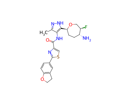 Cc1n[nH]c([C@@H]2CC[C@@H](N)[C@H](F)CO2)c1NC(=O)c1csc(-c2ccc3c(c2)CCO3)n1